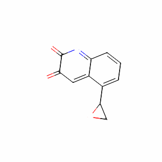 O=C1C=c2c(C3CO3)cccc2=NC1=O